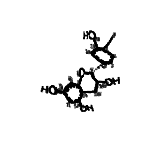 Cc1ccc([C@H]2Oc3cc(O)cc(O)c3C[C@@H]2O)cc1O